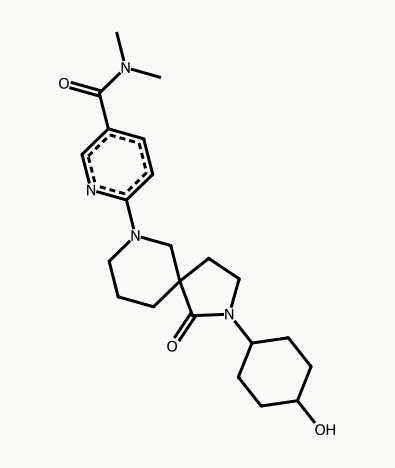 CN(C)C(=O)c1ccc(N2CCCC3(CCN(C4CCC(O)CC4)C3=O)C2)nc1